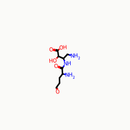 NCC(NC(=O)C(N)CCC=O)C(O)C(=O)O